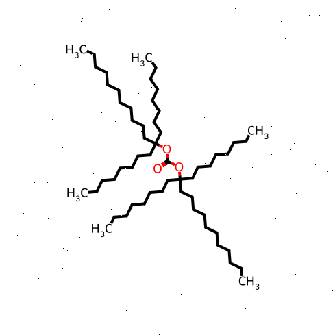 CCCCCCCCCCCC(CCCCCCCC)(CCCCCCCC)OC(=O)OC(CCCCCCCC)(CCCCCCCC)CCCCCCCCCCC